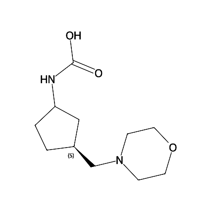 O=C(O)NC1CC[C@H](CN2CCOCC2)C1